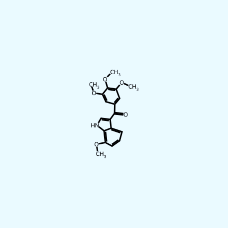 COc1cc(C(=O)c2c[nH]c3c(OC)cccc23)cc(OC)c1OC